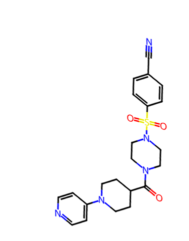 N#Cc1ccc(S(=O)(=O)N2CCN(C(=O)C3CCN(c4ccncc4)CC3)CC2)cc1